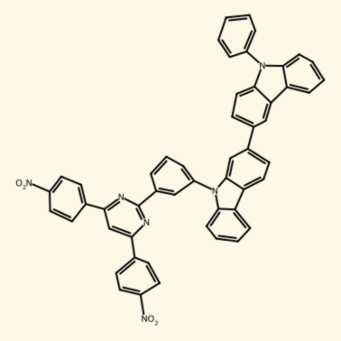 O=[N+]([O-])c1ccc(-c2cc(-c3ccc([N+](=O)[O-])cc3)nc(-c3cccc(-n4c5ccccc5c5ccc(-c6ccc7c(c6)c6ccccc6n7-c6ccccc6)cc54)c3)n2)cc1